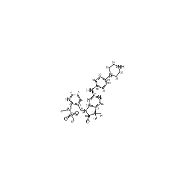 CN(c1ncccc1CN1C(=O)C(C)(C)c2cnc(Nc3ccc(N4CCNCC4)cc3)nc21)S(C)(=O)=O